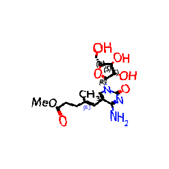 COC(=O)CC/C(C)=C/c1cn([C@@H]2O[C@H](CO)[C@@H](O)[C@@H]2O)c(=O)nc1N